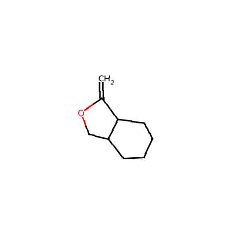 C=C1OCC2CCCCC12